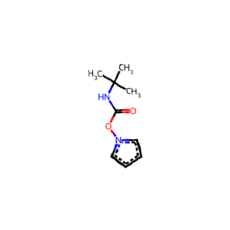 CC(C)(C)NC(=O)On1cccc1